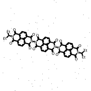 CCC(CC)N1C(=O)c2ccc3c4c(ccc(c24)C1=O)C(=O)N(N1C(=O)c2ccc4c5c(ccc(c25)C1=O)C(=O)N(N1C(=O)c2ccc5c6c(ccc(c26)C1=O)C(=O)N(C(CC)CC)C5=O)C4=O)C3=O